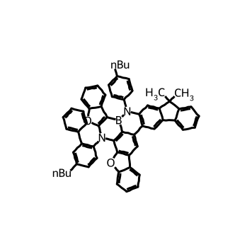 CCCCc1ccc(N2B3c4c(cc5c(oc6ccccc65)c4N(c4ccc(CCCC)cc4-c4ccccc4)c4oc5ccccc5c43)-c3cc4c(cc32)C(C)(C)c2ccccc2-4)cc1